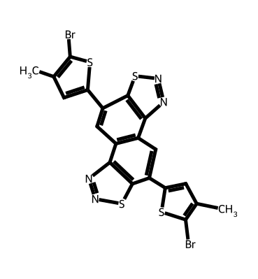 Cc1cc(-c2cc3c(cc(-c4cc(C)c(Br)s4)c4snnc43)c3nnsc23)sc1Br